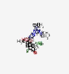 CCN(CC)c1cc(N2CCN(CC(=O)[C@@]3(O)[C@@H](C)C[C@H]4[C@@H]5C[C@H](F)C6=CC(=O)CC[C@]6(C)C5=CC[C@@]43C)CC2)nc(N(CC)CC)n1.Cl.Cl